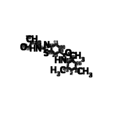 Cc1cc(C)c(NC(=O)c2ccc3nc(NCC(C)C=O)sc3c2)c(C)c1